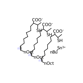 CCCCCCCC/C=C\CCCCCCC(C(=O)[O-])C(C)S.CCCCCCCC/C=C\CCCCCCC(C(=O)[O-])C(C)S.CCCCCCCC/C=C\CCCCCCC(C(=O)[O-])C(C)S.CCC[CH2][Sn+3]